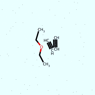 C#C.C#C.CCOCC